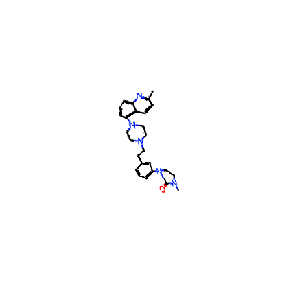 Cc1ccc2c(N3CCN(CCc4cccc(N5CCN(C)C5=O)c4)CC3)cccc2n1